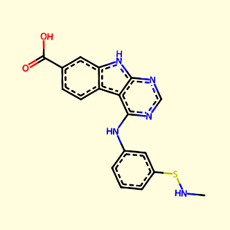 CNSc1cccc(Nc2ncnc3[nH]c4cc(C(=O)O)ccc4c23)c1